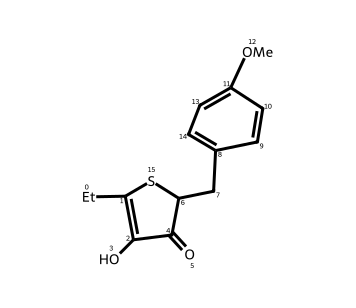 CCC1=C(O)C(=O)C(Cc2ccc(OC)cc2)S1